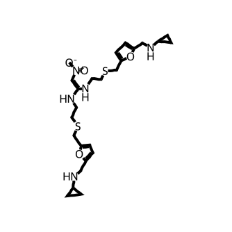 O=[N+]([O-])C=C(NCCSCc1ccc(CNC2CC2)o1)NCCSCc1ccc(CNC2CC2)o1